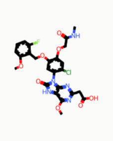 CNC(=O)COc1cc(Cl)c(-n2c(=O)[nH]c3c(OC)nc(CC(=O)O)nc32)cc1OCc1c(F)cccc1OC